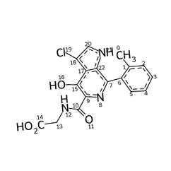 Cc1ccccc1-c1nc(C(=O)NCC(=O)O)c(O)c2c(Cl)c[nH]c12